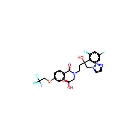 O=C(O)CN(CCC(O)(Cn1ccnn1)c1ccc(F)cc1F)C(=O)c1ccc(OCC(F)(F)F)cc1